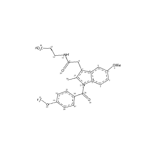 COc1ccc2c(c1)c(CC(=O)NCCC(=O)O)c(C)n2C(=O)c1ccc(OC(F)(F)F)cc1